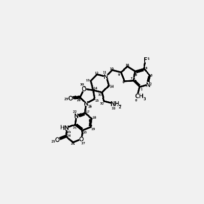 Cc1ncc(F)c2c1CC(CN1CCC3(CN(c4ccc5c(n4)NC(=O)CO5)C(=O)O3)C(CN)C1)C2